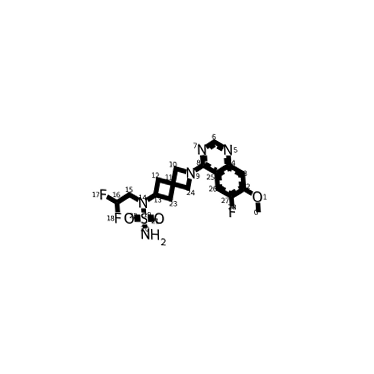 COc1cc2ncnc(N3CC4(CC(N(CC(F)F)S(N)(=O)=O)C4)C3)c2cc1F